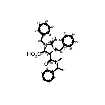 CC(c1ccccc1)N(C)C(=O)C1C(C(=O)O)N(Cc2ccccc2)C(=O)N1Cc1ccccc1